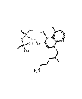 COc1cc(NC(C)CCCN)c2nccc(C)c2c1OC.O=P(O)(O)OP(=O)(O)O